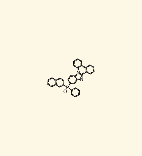 O=P(c1ccccc1)(c1ccc2ccccc2c1)c1ccc2c(c1)nc1c3ccccc3c3ccccc3n21